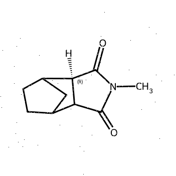 CN1C(=O)C2C3CCC(C3)[C@H]2C1=O